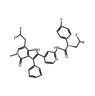 Cn1cc(CC(F)F)c2[nH]c(-c3ccnc(NC(=O)[C@H](CC(F)F)c4ccc(F)cc4)c3)c(-c3ccccc3)c2c1=O